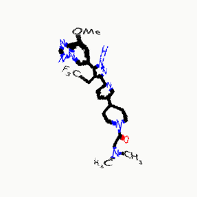 COc1cc(-c2[nH]nc(-c3ccc(C4CCN(C(=O)CN(C)C)CC4)cn3)c2CC(F)(F)F)cn2ncnc12